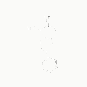 CC1c2ccc(-c3cncnc3)cc2CCN1C